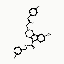 N#Cc1ccc2c(c1)c1c(n2C(=O)NCc2ccnc(F)c2)CCN(CC(F)=Cc2ccc(Cl)cc2)C1